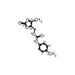 Cc1ccc(OC(=O)OCc2oc(=O)oc2C)cc1